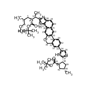 COC[C@@H](C)CN(C(=O)OC(C)(C)C)[C@@H](C)c1nc2ccc3cc4c(cc3c2[nH]1)OCc1cc(-c2cnc([C@@H]3C[C@H](C)CN3C(=O)OC(C)(C)C)[nH]2)ccc1-4